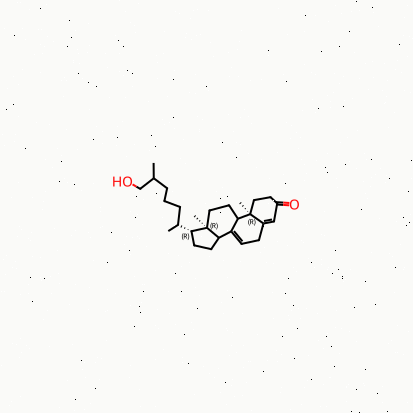 CC(CO)CCCC(C)[C@H]1CCC2C3=CCC4=CC(=O)CC[C@]4(C)C3CC[C@@]21C